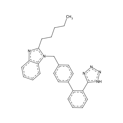 CCCCCc1nc2ccccc2n1Cc1ccc(-c2ccccc2-c2nnn[nH]2)cc1